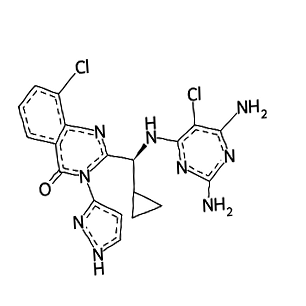 Nc1nc(N)c(Cl)c(N[C@H](c2nc3c(Cl)cccc3c(=O)n2-c2cc[nH]n2)C2CC2)n1